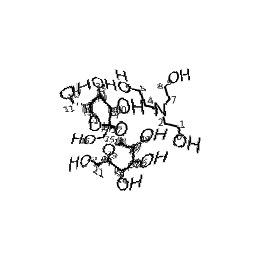 OCCN(CCO)CCO.OC[C@H]1O[C@@](CO)(O[C@H]2O[C@H](CO)[C@@H](O)[C@H](O)[C@H]2O)[C@@H](O)[C@@H]1O